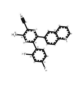 N#Cc1nc(-c2ccc3ncccc3c2)c(-c2ccc(F)cc2F)nc1N